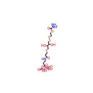 NNC(=O)OCCSSCC(O)C(O)CSCCC(=O)NCCC(O)(O[PH](=O)O)O[PH](=O)O